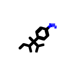 CCC(C)C(C)(c1ccc(N)cc1)C(C)C